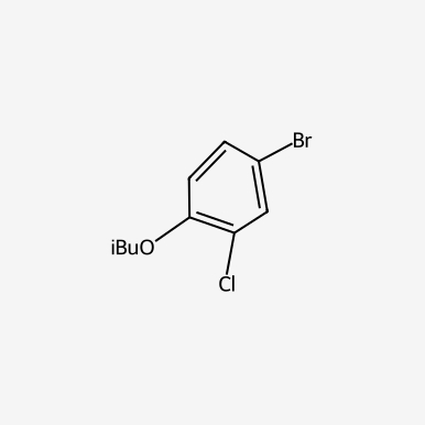 CC(C)COc1ccc(Br)cc1Cl